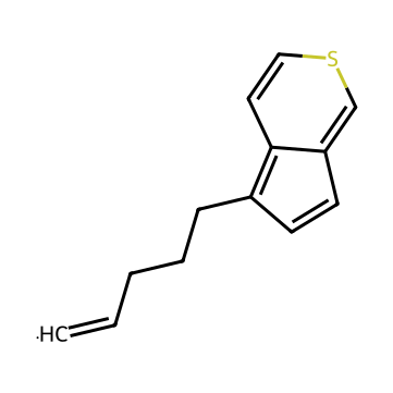 [CH]=CCCCc1ccc2csccc1-2